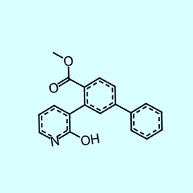 COC(=O)c1ccc(-c2ccccc2)cc1-c1cccnc1O